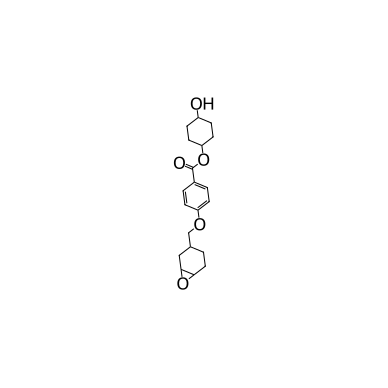 O=C(OC1CCC(O)CC1)c1ccc(OCC2CCC3OC3C2)cc1